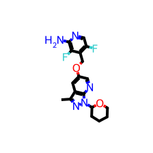 Cc1nn(C2CCCCO2)c2ncc(OCc3c(F)cnc(N)c3F)cc12